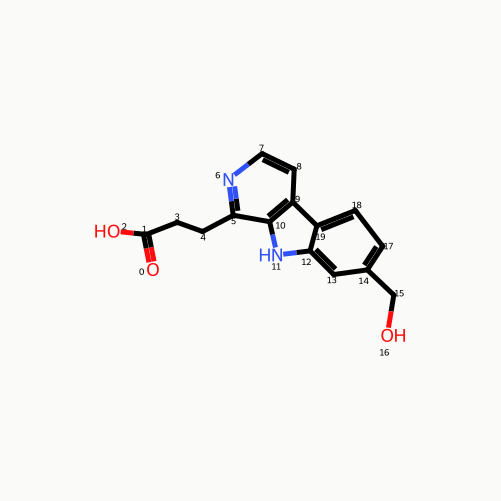 O=C(O)CCc1nccc2c1[nH]c1cc(CO)ccc12